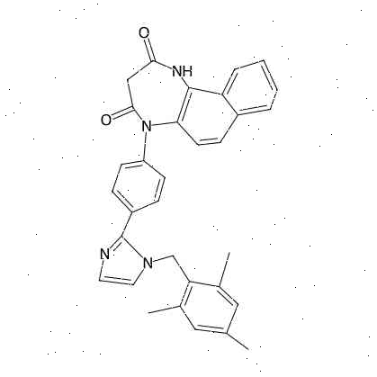 Cc1cc(C)c(Cn2ccnc2-c2ccc(N3C(=O)CC(=O)Nc4c3ccc3ccccc43)cc2)c(C)c1